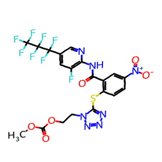 COC(=O)OCCn1nnnc1Sc1ccc([N+](=O)[O-])cc1C(=O)Nc1ncc(C(F)(F)C(F)(F)C(F)(F)F)cc1F